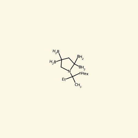 BC1(B)CN(C(C)(CC)CCCCCC)C(B)(B)C1